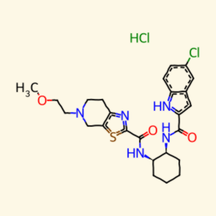 COCCN1CCc2nc(C(=O)N[C@@H]3CCCC[C@@H]3NC(=O)c3cc4cc(Cl)ccc4[nH]3)sc2C1.Cl